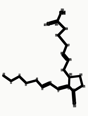 CCCCC/C=C/C=C1/C(=O)CCC1C/C=C/CCCC(=O)O